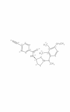 COc1ccc(C(C)N2CC[C@@H](NC(=O)c3ccc(C#N)nc3)C2)c(C)c1C